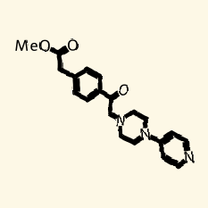 COC(=O)Cc1ccc(C(=O)CN2CCN(c3ccncc3)CC2)cc1